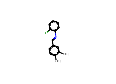 O=C(O)c1ccc(C=Nc2ccccc2F)cc1C(=O)O